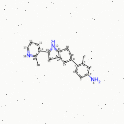 Cc1cc(N)ccc1-c1ccc2[nH]c(-c3cccnc3C)cc2c1